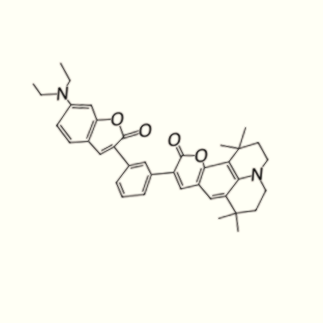 CCN(CC)c1ccc2cc(-c3cccc(-c4cc5cc6c7c(c5oc4=O)C(C)(C)CCN7CCC6(C)C)c3)c(=O)oc2c1